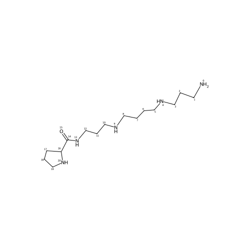 NCCCNCCCCNCCCNC(=O)C1CCCN1